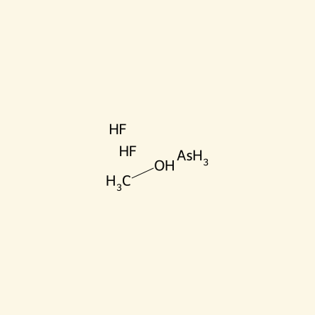 CO.F.F.[AsH3]